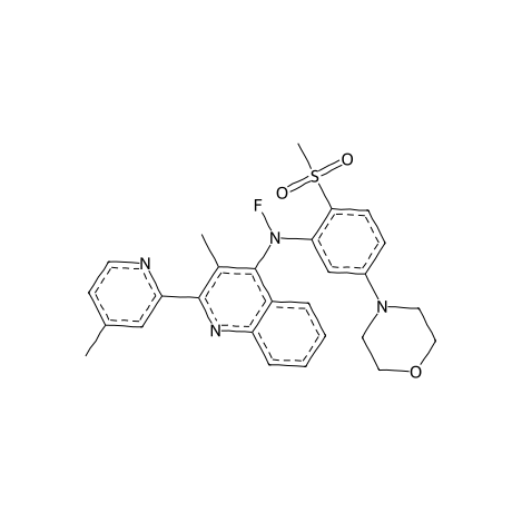 Cc1ccnc(-c2nc3ccccc3c(N(F)c3cc(N4CCOCC4)ccc3S(C)(=O)=O)c2C)c1